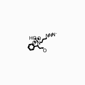 [N-]=[N+]=NCCCN(C(CC=O)c1ccccc1)S(=O)(=O)O